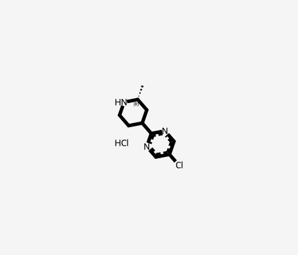 C[C@@H]1CC(c2ncc(Cl)cn2)CCN1.Cl